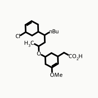 CCCCC(CC(C)OC1CC(OC)=CC(CC(=O)O)C1)C1CC=CC(Cl)C1